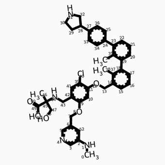 CNc1cncc(COc2cc(OCc3cccc(-c4cccc(-c5ccc(C6CCNC6)cc5)c4C)c3C)c(Cl)cc2CNC(C)(CO)C(=O)O)c1